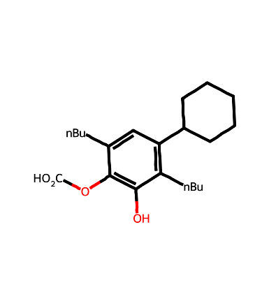 CCCCc1cc(C2CCCCC2)c(CCCC)c(O)c1OC(=O)O